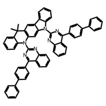 CC1(C)c2ccccc2N(c2nc(-c3ccc(-c4ccccc4)cc3)c3ccccc3n2)c2cc3c(cc21)c1ccccc1n3-c1nc(-c2ccc(-c3ccccc3)cc2)c2ccccc2n1